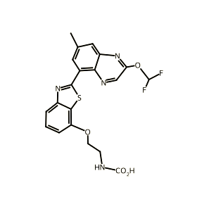 Cc1cc(-c2nc3cccc(OCCNC(=O)O)c3s2)c2ncc(OC(F)F)nc2c1